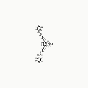 CC12CC(C(=O)OCCCCCc3ccccc3)C(C(=O)OCCCCCc3ccccc3)CC1O2